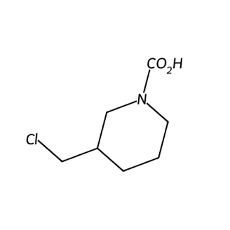 O=C(O)N1CCCC(CCl)C1